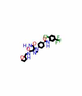 NC(=O)c1c(C(=O)NCC2CCCO2)ncn1[C@H]1CC[C@H](C(=O)Nc2cc(C(F)(F)F)ccc2Cl)CC1